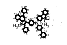 Cn1c(-c2ccccc2)c(-c2ccc(N(c3ccc(-c4ccccc4)cc3)c3ccc4c(c3)C(C)(C)c3ccccc3-4)cc2)c2cc(-c3ccccc3)c3ccccc3c21